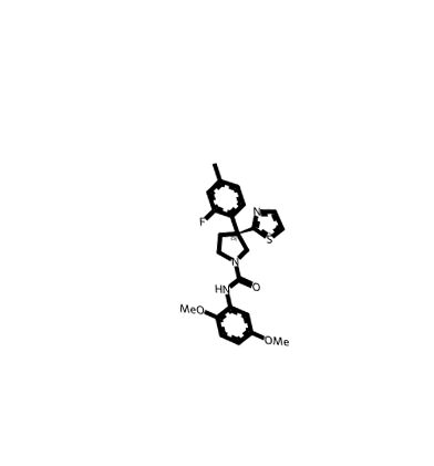 COc1ccc(OC)c(NC(=O)N2CC[C@](c3nccs3)(c3ccc(C)cc3F)C2)c1